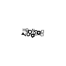 CN(C(=O)Cc1ccc(Cl)c(Cl)c1)[C@@H]1CC(O)[C@@H]2CN(CC3CC3)CC[C@@]2(c2cccc(O)c2)C1